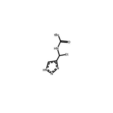 CCC(NC(=O)C(C)(C)C)c1c[nH]nn1